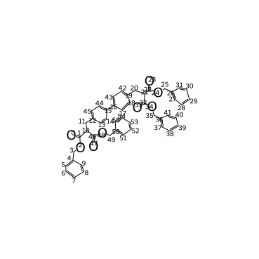 O=C(OCc1ccccc1)C(Cc1ccc(-c2ccc(CC(C(=O)OCc3ccccc3)C(=O)OCc3ccccc3)cc2)cc1)C(=O)OCc1ccccc1